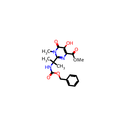 COC(=O)c1nc(C(C)(C)NC(=O)OCc2ccccc2)n(C)c(=O)c1O